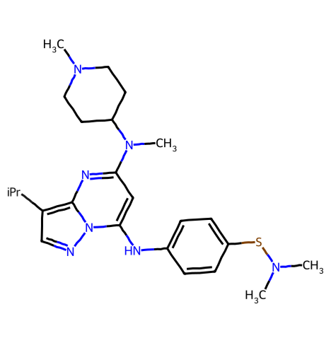 CC(C)c1cnn2c(Nc3ccc(SN(C)C)cc3)cc(N(C)C3CCN(C)CC3)nc12